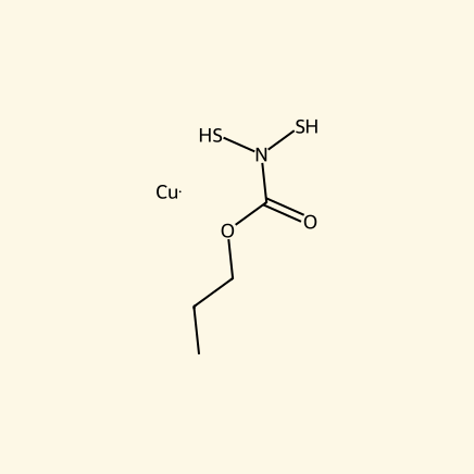 CCCOC(=O)N(S)S.[Cu]